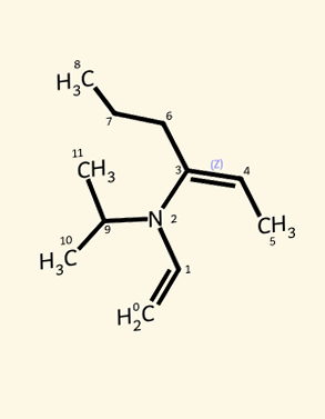 C=CN(/C(=C\C)CCC)C(C)C